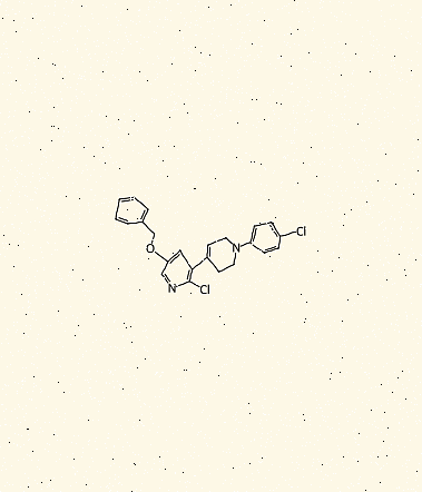 Clc1ccc(N2CC=C(c3cc(OCc4ccccc4)cnc3Cl)CC2)cc1